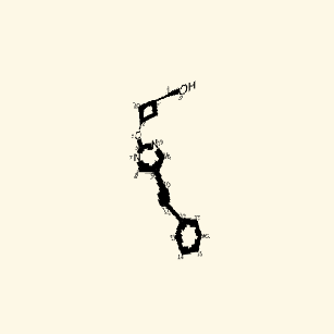 OC[C@H]1C[C@H](Oc2ncc(C#Cc3ccccc3)cn2)C1